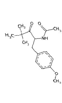 COc1ccc(CC(NC(C)=O)C(=O)C(C)(C)C)cc1